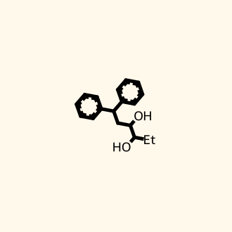 CCC(O)C(O)CC(c1ccccc1)c1ccccc1